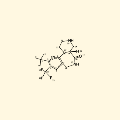 CC(C)(C)c1nc2c(cc1C(F)(F)F)CNC(=O)[C@H]1CNCCN21